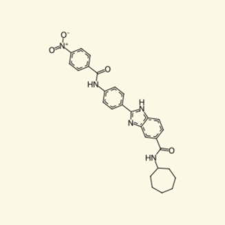 O=C(Nc1ccc(-c2nc3cc(C(=O)NC4CCCCCC4)ccc3[nH]2)cc1)c1ccc([N+](=O)[O-])cc1